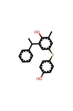 Cc1cc(Sc2ccc(O)cc2)cc(C(C)c2ccccc2)c1O